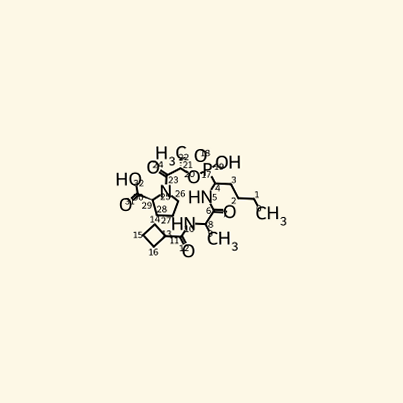 CCCCC(NC(=O)C(C)NC(=O)C1CCC1)P(=O)(O)O[C@@H](C)C(=O)N1CCC[C@H]1C(=O)O